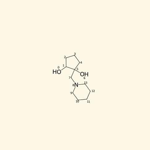 OC1CCCC1(O)CN1CCCCC1